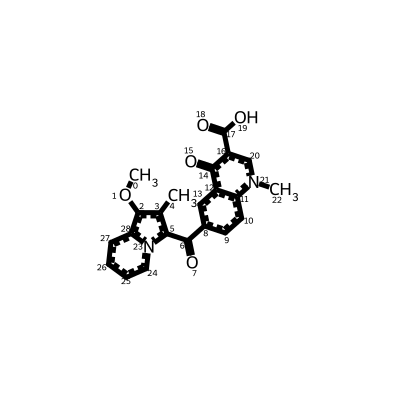 COc1c(C)c(C(=O)c2ccc3c(c2)c(=O)c(C(=O)O)cn3C)n2ccccc12